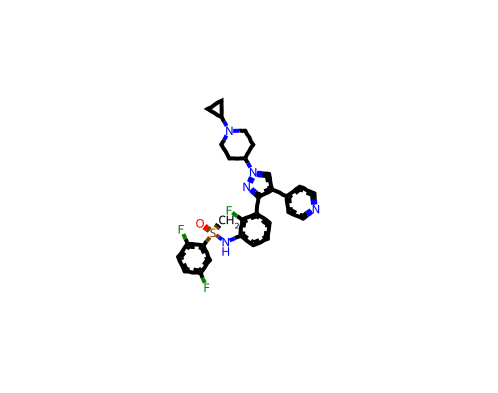 C=S(=O)(Nc1cccc(-c2nn(C3CCN(C4CC4)CC3)cc2-c2ccncc2)c1F)c1cc(F)ccc1F